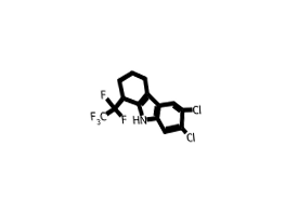 FC(F)(F)C(F)(F)C1CCCc2c1[nH]c1cc(Cl)c(Cl)cc21